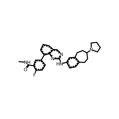 CNC(=O)c1cc(-c2cccc3cnc(Nc4ccc5c(c4)CCC(N4CCCC4)CC5)nc23)ccc1F